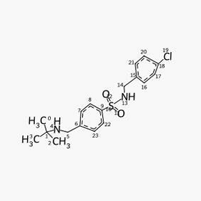 CC(C)(C)NCc1ccc(S(=O)(=O)NCc2ccc(Cl)cc2)cc1